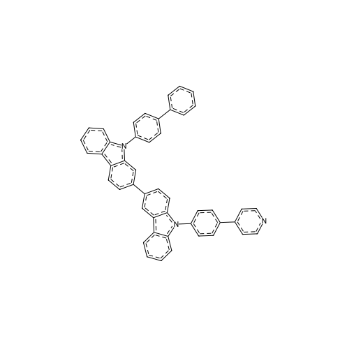 c1ccc(-c2ccc(-n3c4ccccc4c4ccc(-c5ccc6c(c5)c5ccccc5n6-c5ccc(-c6ccncc6)cc5)cc43)cc2)cc1